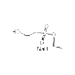 CCOS(=O)(=O)CCO.[NaH]